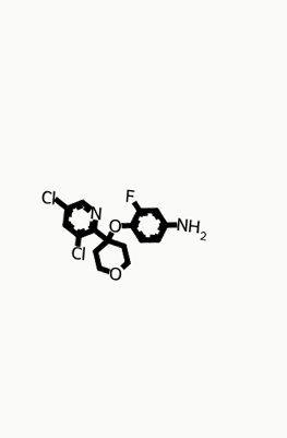 Nc1ccc(OC2(c3ncc(Cl)cc3Cl)CCOCC2)c(F)c1